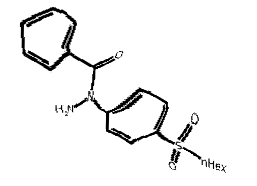 CCCCCCS(=O)(=O)c1ccc(N(N)C(=O)c2ccccc2)cc1